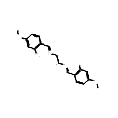 COc1ccc(C=NCCN=Cc2ccc(OC)cc2O)c(O)c1